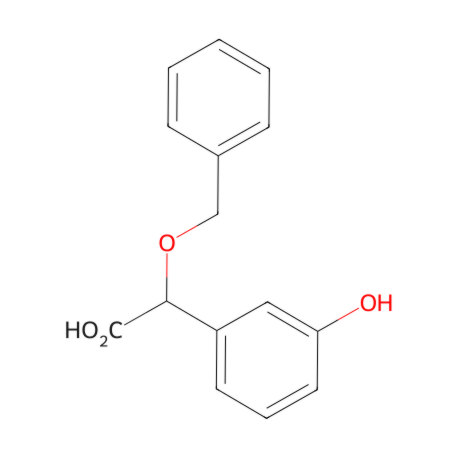 O=C(O)C(OCc1ccccc1)c1cccc(O)c1